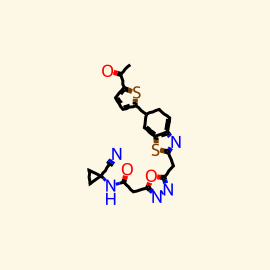 CC(=O)c1ccc(C2C=c3sc(Cc4nnc(CC(=O)NC5(C#N)CC5)o4)nc3=CC2)s1